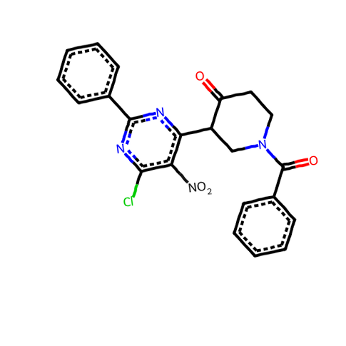 O=C1CCN(C(=O)c2ccccc2)CC1c1nc(-c2ccccc2)nc(Cl)c1[N+](=O)[O-]